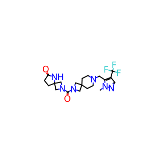 Cn1ncc(C(F)(F)F)c1CN1CCC2(CC1)CN(C(=O)N1CC3(CCC(=O)N3)C1)C2